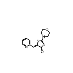 O=C1N=C(N2CCOCC2)SC1=Cc1ccccn1